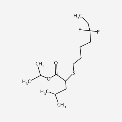 CCC(F)(F)CCCCSC(CC(C)C)C(=O)OC(C)C